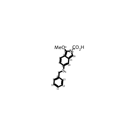 COc1c2ccc(SCc3ccccc3)cc2cn1C(=O)O